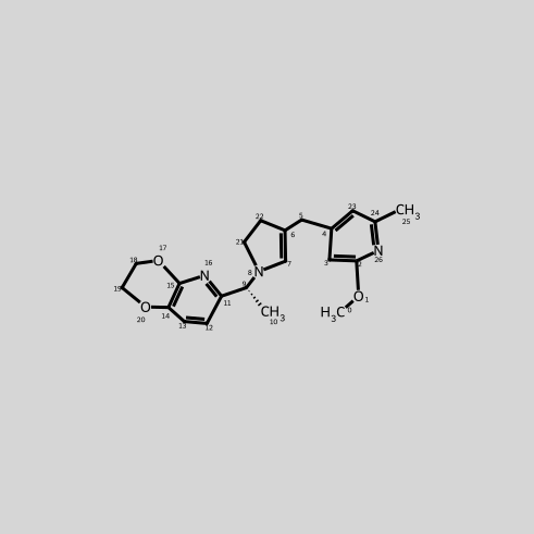 COc1cc(CC2=CN([C@H](C)c3ccc4c(n3)OCCO4)CC2)cc(C)n1